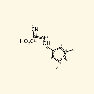 Cc1cc(C)nc(C)c1.N#CC(=NO)C(=O)O